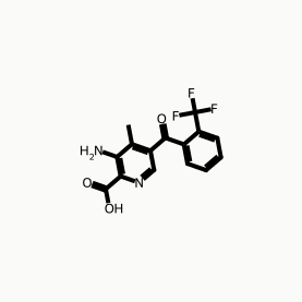 Cc1c(C(=O)c2ccccc2C(F)(F)F)cnc(C(=O)O)c1N